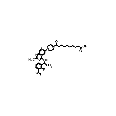 Cc1nc(NC(C)c2cccc(C(F)F)c2F)c2cc(N3CCN(C(=O)CCCCCCCCC(=O)O)CC3)ncc2n1